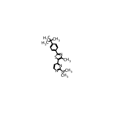 Cc1nc(-c2ccc(C(C)(C)C)cc2)sc1-c1ccnc(N(C)C)n1